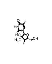 C[C@@]1(O)C(F)[C@@H](CO)O[C@H]1n1cc(F)c(=O)[nH]c1=S